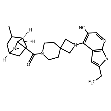 CC1C[C@@H]2CC[C@H]1[C@@H](C(=O)N1CCC3(CC1)CN(c1c(C#N)cnc4sc(CC(F)(F)F)cc14)C3)N2